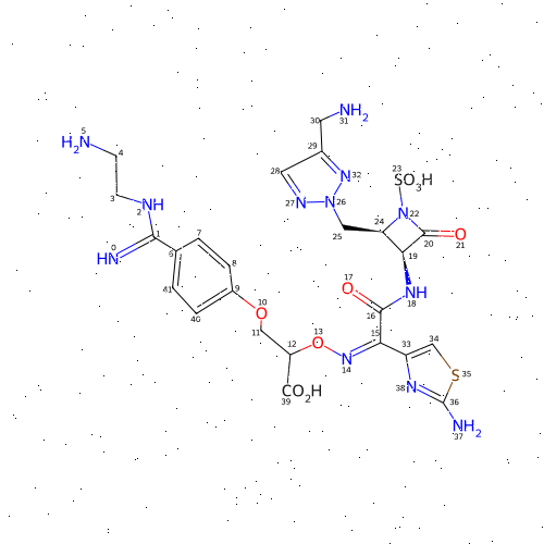 N=C(NCCN)c1ccc(OCC(O/N=C(\C(=O)N[C@@H]2C(=O)N(S(=O)(=O)O)[C@@H]2Cn2ncc(CN)n2)c2csc(N)n2)C(=O)O)cc1